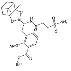 COc1c(CC(NC(=O)CCS(N)(=O)=O)B2OC3CC4CC(C4(C)C)C3(C)O2)cccc1C(=O)OC(C)(C)C